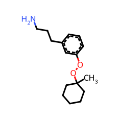 CC1(OOc2cccc(CCCN)c2)CCCCC1